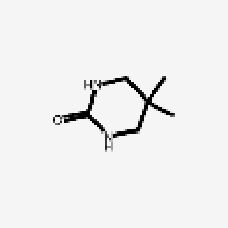 CC1(C)CNC(=O)NC1